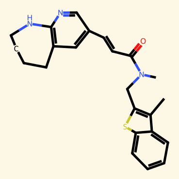 Cc1c(CN(C)C(=O)C=Cc2cnc3c(c2)CCCCN3)sc2ccccc12